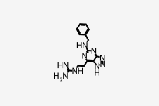 N=C(N)NCCc1nc(NCc2ccccc2)nc2nn[nH]c12